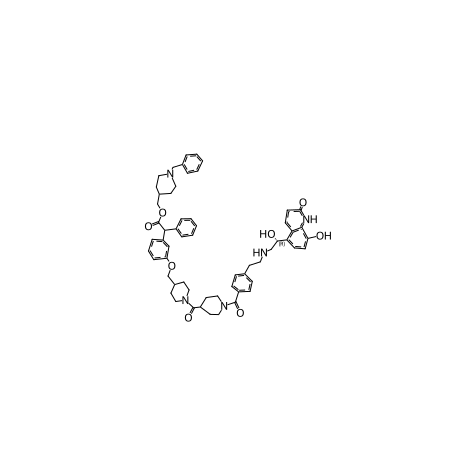 O=C(OCC1CCN(Cc2ccccc2)CC1)C(c1ccccc1)c1cccc(OCC2CCN(C(=O)C3CCN(C(=O)c4ccc(CCNC[C@H](O)c5ccc(O)c6[nH]c(=O)ccc56)cc4)CC3)CC2)c1